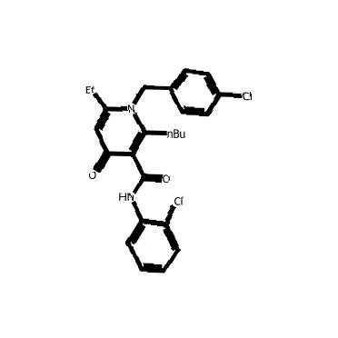 CCCCc1c(C(=O)Nc2ccccc2Cl)c(=O)cc(CC)n1Cc1ccc(Cl)cc1